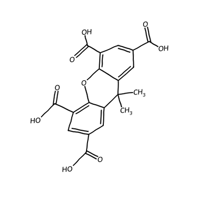 CC1(C)c2cc(C(=O)O)cc(C(=O)O)c2Oc2c(C(=O)O)cc(C(=O)O)cc21